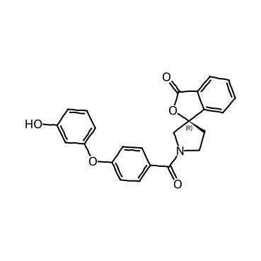 O=C1O[C@]2(CCN(C(=O)c3ccc(Oc4cccc(O)c4)cc3)C2)c2ccccc21